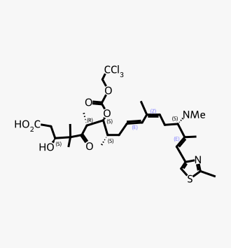 CN[C@@H](C/C=C(C)\C=C\C[C@H](C)[C@H](OC(=O)OCC(Cl)(Cl)Cl)[C@@H](C)C(=O)C(C)(C)[C@@H](O)CC(=O)O)/C(C)=C/c1csc(C)n1